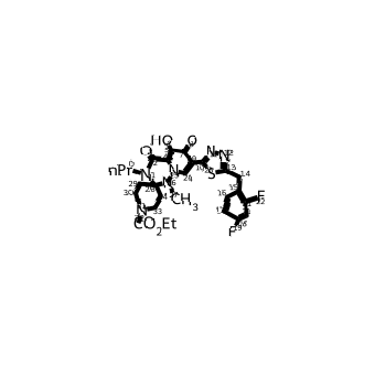 CCCN1C(=O)c2c(O)c(=O)c(-c3nnc(Cc4ccc(F)cc4F)s3)cn2N(C)C12CCN(C(=O)OCC)CC2